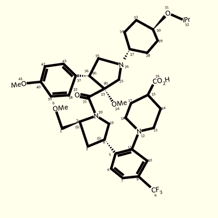 COC[C@@H]1C[C@@H](c2ccc(C(F)(F)F)cc2N2CCC(C(=O)O)CC2)CN1C(=O)[C@]1(OC)CN([C@H]2CC[C@H](OC(C)C)CC2)C[C@H]1c1ccc(OC)cc1